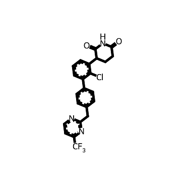 O=C1CCC(c2cccc(-c3ccc(Cc4nccc(C(F)(F)F)n4)cc3)c2Cl)C(=O)N1